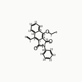 C=Cc1c2c(c(OCC)c3ccccc13)C(=O)N(c1cc[c]cc1)C2=O